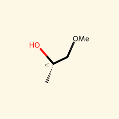 [CH2][C@H](O)COC